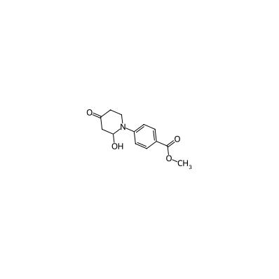 COC(=O)c1ccc(N2CCC(=O)CC2O)cc1